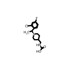 CC(c1ccc(F)cc1Cl)N1CCC(CNC(=O)O)CC1